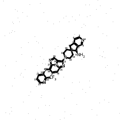 NC1c2cnccc2CC12CCN(c1nc3ccc(Sc4cccnc4C(F)(F)F)c4ncc1n34)CC2